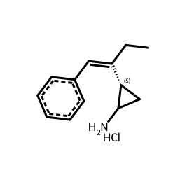 CCC(=Cc1ccccc1)[C@@H]1CC1N.Cl